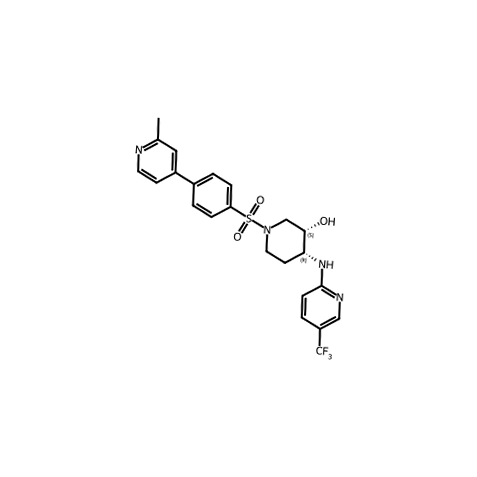 Cc1cc(-c2ccc(S(=O)(=O)N3CC[C@@H](Nc4ccc(C(F)(F)F)cn4)[C@@H](O)C3)cc2)ccn1